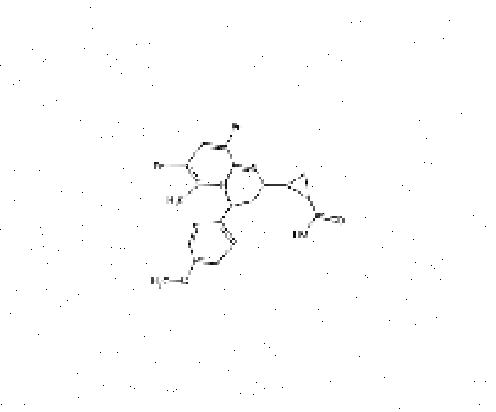 COc1ccc(C2CC(C3CC3C(=O)O)N=C3C(Br)=CC(Br)=C(C)N32)cc1